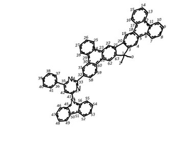 CC1(C)c2cc3c4ccccc4c4ccccc4c3cc2-c2cc3c4ccccc4c4cc(-c5nc(-c6ccccc6)cc(-n6c7ccccc7c7ccccc76)n5)ccc4c3cc21